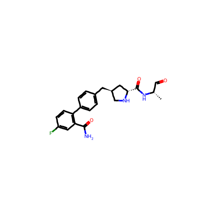 C[C@@H](C=O)NC(=O)[C@H]1C[C@H](Cc2ccc(-c3ccc(F)cc3C(N)=O)cc2)CN1